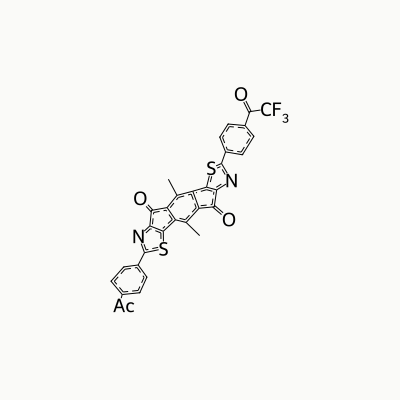 CC(=O)c1ccc(-c2nc3c(=O)c4c(C)c5c(c(C)c4c3s2)c(=O)c2nc(-c3ccc(C(=O)C(F)(F)F)cc3)sc25)cc1